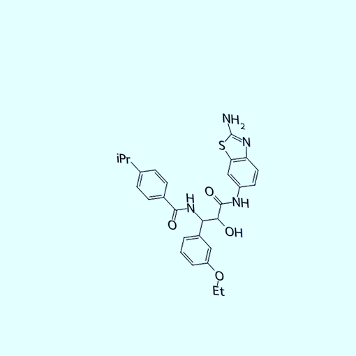 CCOc1cccc(C(NC(=O)c2ccc(C(C)C)cc2)C(O)C(=O)Nc2ccc3nc(N)sc3c2)c1